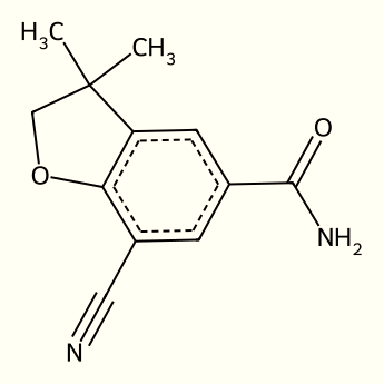 CC1(C)COc2c(C#N)cc(C(N)=O)cc21